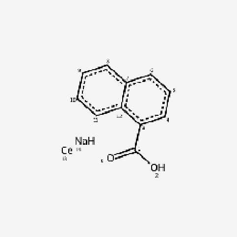 O=C(O)c1cccc2ccccc12.[Ce].[NaH]